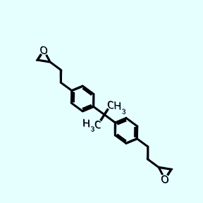 CC(C)(c1ccc(CCC2CO2)cc1)c1ccc(CCC2CO2)cc1